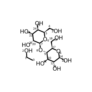 CCO.OC[C@H]1O[C@@H](O[C@H]2[C@H](O)[C@@H](O)[C@H](O)O[C@@H]2CO)[C@H](O)[C@@H](O)[C@H]1O